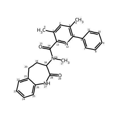 Cc1cc(C)c(-c2ccccc2)nc1C(=O)N(C)C1CCc2ccccc2NC1=O